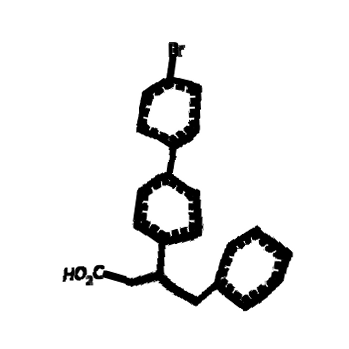 O=C(O)CC(Cc1ccccc1)c1ccc(-c2ccc(Br)cc2)cc1